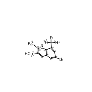 [2H]C([2H])(F)c1cc(Cl)cc2c1O[C@H](C(F)(F)F)C(C(=O)O)=C2